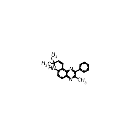 Cc1nc2ccc3c(c2nc1-c1ccccc1)C=CC(C)(C)N3